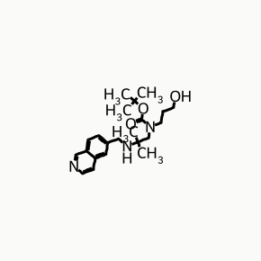 CC(C)(CN(CCCO)C(=O)OC(C)(C)C)NCc1ccc2cnccc2c1